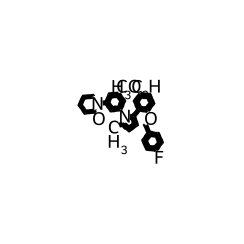 Cc1ccc(OCc2ccc(F)cc2)c(-c2ccc(C)n2-c2cc(C(=O)O)cc(N3CCCCC3=O)c2)c1